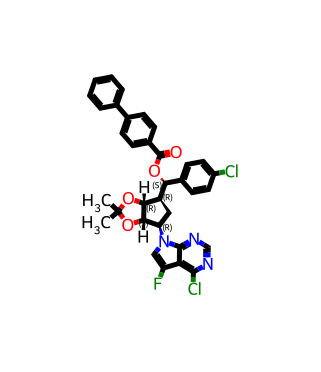 CC1(C)O[C@@H]2[C@@H]([C@H](OC(=O)c3ccc(-c4ccccc4)cc3)c3ccc(Cl)cc3)C[C@@H](n3cc(F)c4c(Cl)ncnc43)[C@@H]2O1